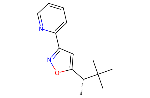 C[C@H](c1cc(-c2ccccn2)no1)C(C)(C)C